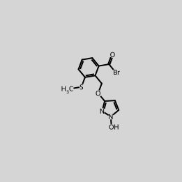 CSc1cccc(C(=O)Br)c1COc1ccn(O)n1